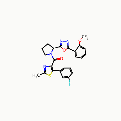 Cc1nc(C(=O)N2CCC[C@H]2c2nnc(-c3ccccc3OC(F)(F)F)o2)c(-c2cccc(F)c2)s1